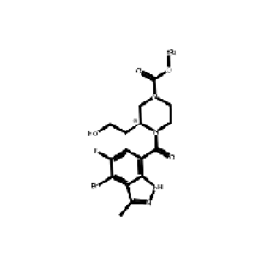 Cc1n[nH]c2c(C(=O)N3CCN(C(=O)OC(C)(C)C)C[C@@H]3CCO)cc(F)c(Br)c12